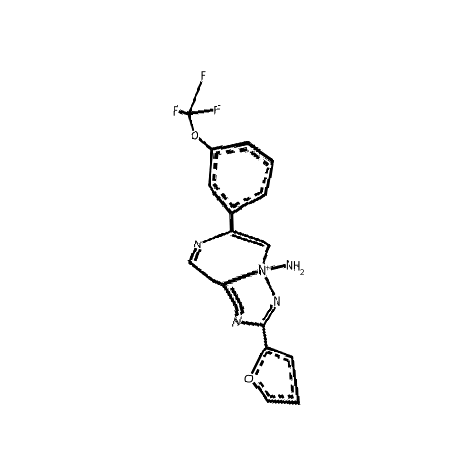 N[N+]12C=C(c3cccc(OC(F)(F)F)c3)N=CC1=NC(c1ccco1)=N2